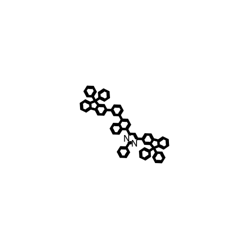 c1ccc(-c2nc(-c3ccc4c(c3)C(c3ccccc3)(c3ccccc3)c3ccccc3-4)cc(-c3ccc(-c4cccc(-c5ccc6c(c5)C(c5ccccc5)(c5ccccc5)c5ccccc5-6)c4)c4ccccc34)n2)cc1